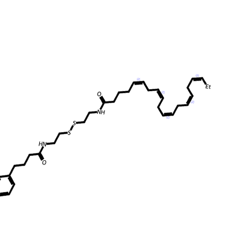 CC/C=C\C/C=C\C/C=C\C/C=C\C/C=C\CCCC(=O)NCCSSCCNC(=O)CCCc1ccccc1